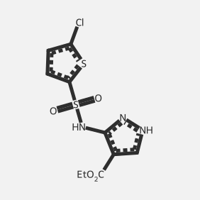 CCOC(=O)c1c[nH]nc1NS(=O)(=O)c1ccc(Cl)s1